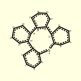 c1ccc2c(c1)sc1ccccc1c1ccccc1c1ccccc21